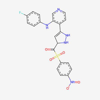 O=C(C1C=C(c2ccncc2Nc2ccc(F)cc2)NN1)S(=O)(=O)c1ccc([N+](=O)[O-])cc1